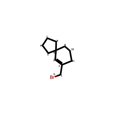 BrCC1=CC2(CCCC2)CCC1